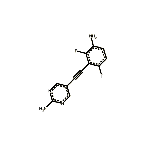 Nc1ncc(C#Cc2c(F)ccc(N)c2F)cn1